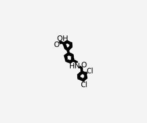 O=C(O)c1cccc(-c2cccc(CNC(=O)c3ccc(Cl)cc3Cl)c2)c1